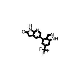 O=C1Cc2cc(-c3cc(C(F)(F)F)cc4[nH]ncc34)cnc2N1